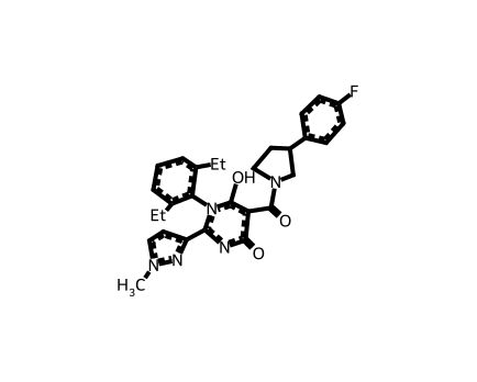 CCc1cccc(CC)c1-n1c(-c2ccn(C)n2)nc(=O)c(C(=O)N2CCC(c3ccc(F)cc3)C2)c1O